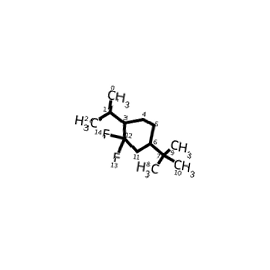 CC(C)C1CCC(C(C)(C)C)CC1(F)F